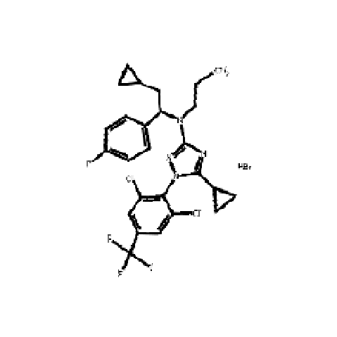 Br.CCCN(c1nc(C2CC2)n(-c2c(Cl)cc(C(F)(F)F)cc2Cl)n1)C(CC1CC1)c1ccc(F)cc1